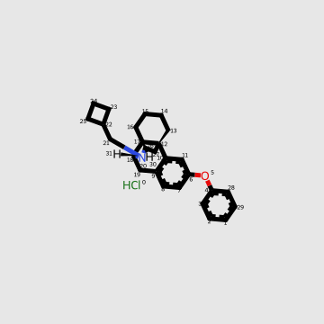 Cl.c1ccc(Oc2ccc3c(c2)[C@@]24CCCC[C@H]2[C@@H](C3)N(CC2CCC2)CC4)cc1